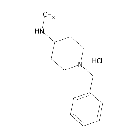 CNC1CCN(Cc2ccccc2)CC1.Cl